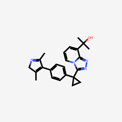 CC1=NCC(C)=C1c1ccc(C2(c3nnc4c(C(C)(C)O)cccn34)CC2)cc1